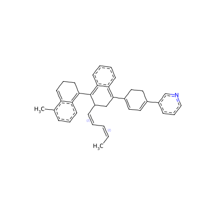 C/C=C\C=C/C1CC(C2=CC=C(c3cccnc3)CC2)=c2ccccc2=C1C1=c2cccc(C)c2=CCC1